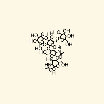 CC(=O)N[C@H]1[C@H](O[C@H]2[C@H](O)[C@@H](NC(C)=O)C(O)O[C@@H]2CO)O[C@H](CO)[C@@H](O[C@@H]2O[C@H](CO[C@H]3O[C@H](CO)[C@@H](O)[C@H](O)[C@@H]3O)[C@@H](O)[C@H](O[C@H]3O[C@H](CO)[C@@H](O)[C@H](O)[C@@H]3O)[C@@H]2O)[C@@H]1O